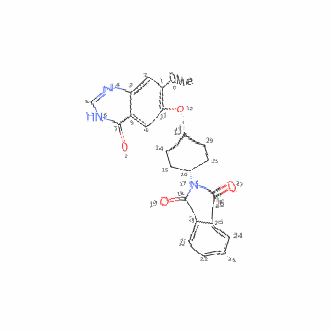 COc1cc2nc[nH]c(=O)c2cc1O[C@H]1CC[C@@H](N2C(=O)c3ccccc3C2=O)CC1